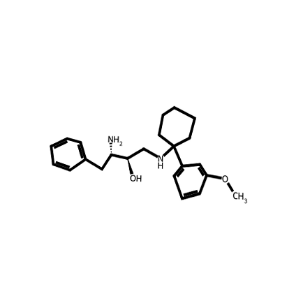 COc1cccc(C2(NC[C@@H](O)[C@@H](N)Cc3ccccc3)CCCCC2)c1